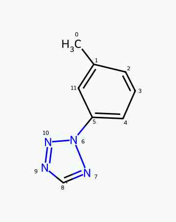 Cc1cccc(-n2n[c]nn2)c1